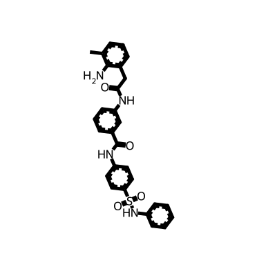 Cc1cccc(CC(=O)Nc2cccc(C(=O)Nc3ccc(S(=O)(=O)Nc4ccccc4)cc3)c2)c1N